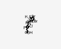 Cc1c(Br)cc(Br)c2nc(-c3nc(-c4cc(F)c(CCC(=O)O)cc4Cl)no3)cn12